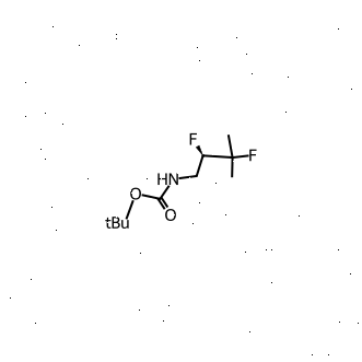 CC(C)(C)OC(=O)NC[C@@H](F)C(C)(C)F